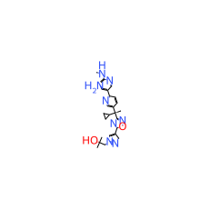 C=C(/N=C\C(=C/N)c1ccc([C@](C)(c2noc(-c3cnn(CC(C)(C)O)c3)n2)C2CC2)cn1)NC